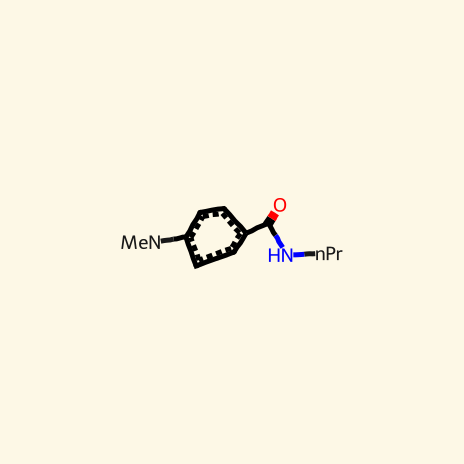 CCCNC(=O)c1ccc(NC)cc1